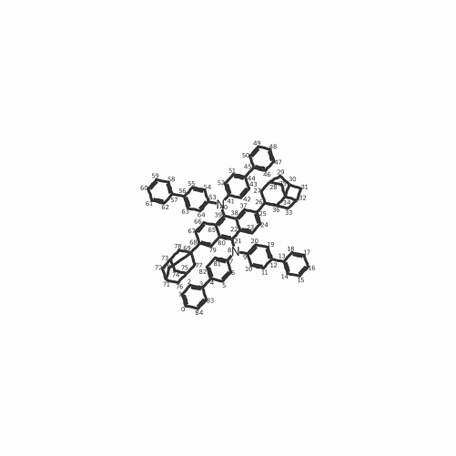 c1ccc(-c2ccc(N(c3ccc(-c4ccccc4)cc3)c3c4ccc(C56CC7CC8CC(C5)C8(C7)C6)cc4c(N(c4ccc(-c5ccccc5)cc4)c4ccc(-c5ccccc5)cc4)c4ccc(C56CC7CC(CC(C7)C5)C6)cc34)cc2)cc1